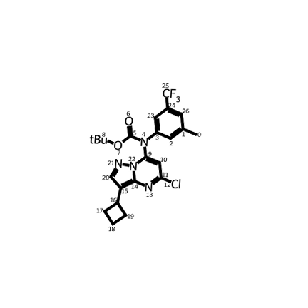 Cc1cc(N(C(=O)OC(C)(C)C)c2cc(Cl)nc3c(C4CCC4)cnn23)cc(C(F)(F)F)c1